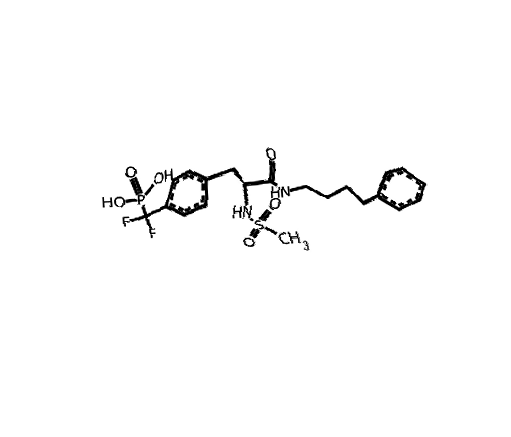 CS(=O)(=O)N[C@@H](Cc1ccc(C(F)(F)P(=O)(O)O)cc1)C(=O)NCCCCc1ccccc1